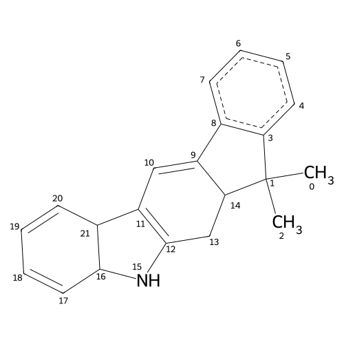 CC1(C)c2ccccc2C2=CC3=C(CC21)NC1C=CC=CC31